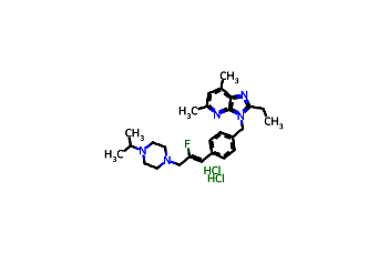 CCc1nc2c(C)cc(C)nc2n1Cc1ccc(C=C(F)CN2CCN(C(C)C)CC2)cc1.Cl.Cl